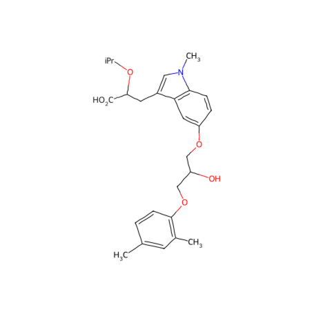 Cc1ccc(OCC(O)COc2ccc3c(c2)c(CC(OC(C)C)C(=O)O)cn3C)c(C)c1